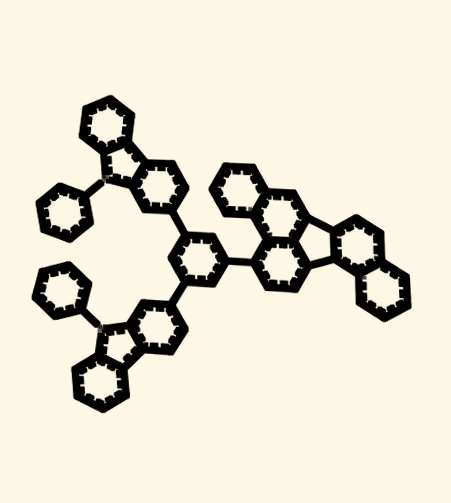 c1ccc(-n2c3ccccc3c3ccc(-c4cc(-c5ccc6c7ccccc7n(-c7ccccc7)c6c5)cc(-c5ccc6c7c(cc8ccccc8c57)-c5ccc7ccccc7c5-6)c4)cc32)cc1